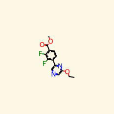 CCOc1cncc(-c2ccc(C(=O)OC)c(F)c2F)n1